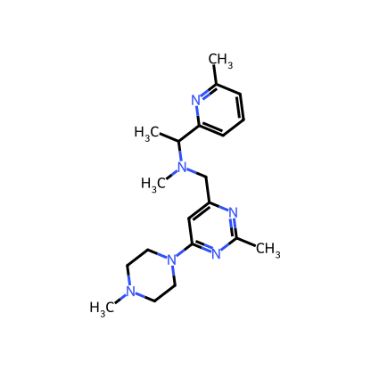 Cc1cccc(C(C)N(C)Cc2cc(N3CCN(C)CC3)nc(C)n2)n1